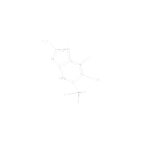 Cc1nc2[nH]c(C(F)(F)F)c(C)c(=O)n2n1